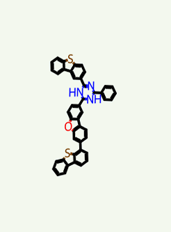 c1ccc(C2N=C(c3ccc4sc5ccccc5c4c3)NC(c3ccc4oc5cc(-c6cccc7c6sc6ccccc67)ccc5c4c3)N2)cc1